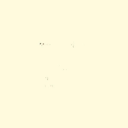 CCCCNCC1CCc2c(OC)cc3c(c2C1=O)C(C)CC(=O)N3.Cl